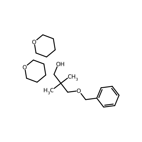 C1CCOCC1.C1CCOCC1.CC(C)(CO)COCc1ccccc1